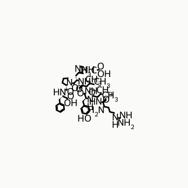 CC(=O)O.CC[C@H](C)[C@H](NC(=O)[C@H](Cc1ccc(O)cc1)NC(=O)[C@@H](NC(=O)[C@@H](N)CCCNC(=N)N)C(C)C)C(=O)N[C@@H](Cc1c[nH]cn1)C(=O)N1CCC[C@H]1C(=O)N[C@@H](Cc1ccccc1)C(=O)O